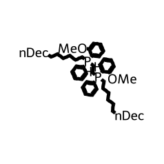 CCCCCCCCCCCCCCCC[PH](CC[PH](CCCCCCCCCCCCCCCC)(c1ccccc1)c1ccccc1OC)(c1ccccc1)c1ccccc1OC